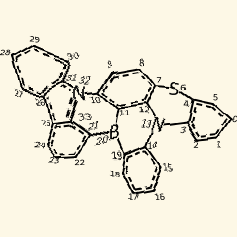 c1ccc2c(c1)Sc1ccc3c4c1N2c1ccccc1B4c1cccc2c4ccccc4n-3c12